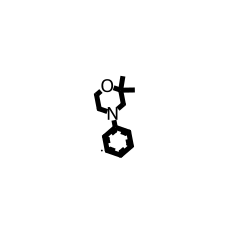 CC1(C)CN(c2c[c]ccc2)CCO1